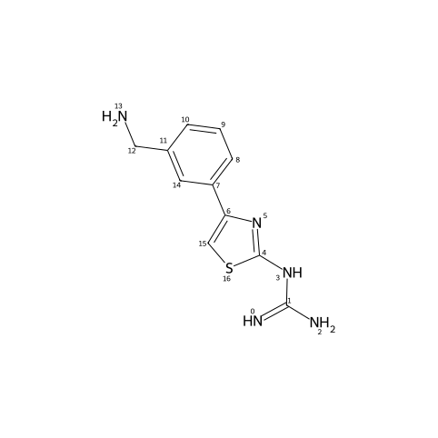 N=C(N)Nc1nc(-c2cccc(CN)c2)cs1